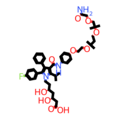 CC(C)c1c(C(=O)Nc2ccc(OCCOC(C)(C)CCOC(C)(C)COCC(N)=O)cc2)c(-c2ccccc2)c(-c2ccc(F)cc2)n1CC[C@@H](O)C[C@@H](O)CC(=O)O